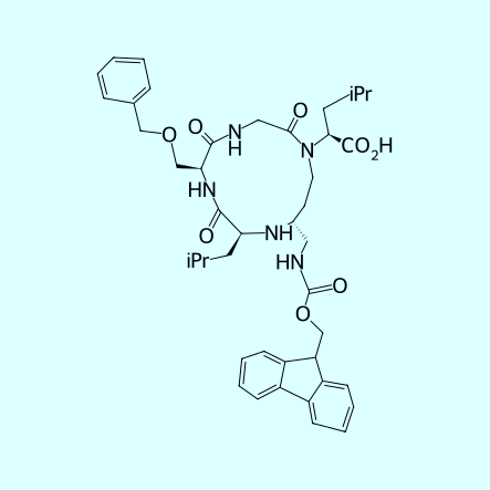 CC(C)C[C@@H]1N[C@@H](CNC(=O)OCC2c3ccccc3-c3ccccc32)CCN([C@@H](CC(C)C)C(=O)O)C(=O)CNC(=O)[C@H](COCc2ccccc2)NC1=O